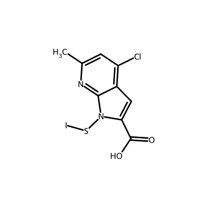 Cc1cc(Cl)c2cc(C(=O)O)n(SI)c2n1